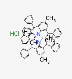 Cc1cc(C(C)c2ccccc2)c(N2CN(c3c(C(C)c4ccccc4)cc(C)cc3C(C)c3ccccc3)C3=C2c2cccc4cccc3c24)c(C(C)c2ccccc2)c1.Cl